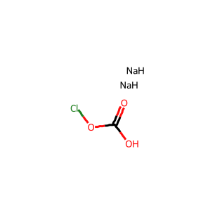 O=C(O)OCl.[NaH].[NaH]